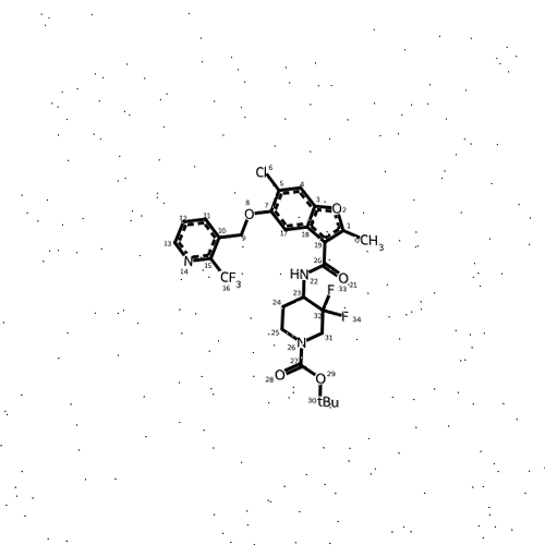 Cc1oc2cc(Cl)c(OCc3cccnc3C(F)(F)F)cc2c1C(=O)NC1CCN(C(=O)OC(C)(C)C)CC1(F)F